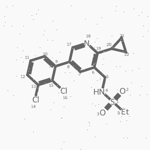 CCS(=O)(=O)NCc1cc(-c2cccc(Cl)c2Cl)cnc1C1CC1